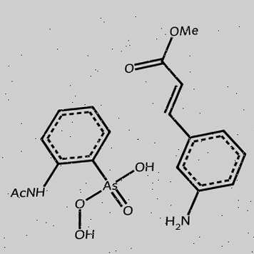 CC(=O)Nc1ccccc1[As](=O)(O)OO.COC(=O)C=Cc1cccc(N)c1